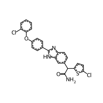 NC(=O)C(c1ccc2nc(-c3ccc(Oc4ccccc4Cl)cc3)[nH]c2c1)c1ccc(Cl)s1